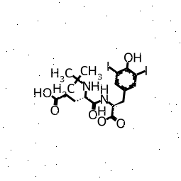 CC(C)(C)N[C@@H](CCC(=O)O)C(=O)N[C@@H](Cc1cc(I)c(O)c(I)c1)C(=O)O